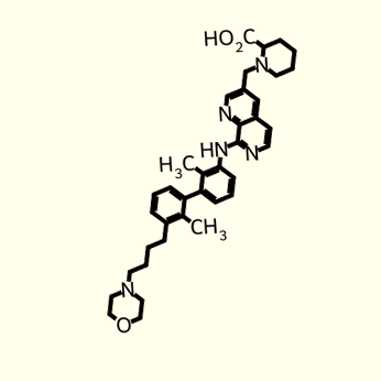 Cc1c(CCCCN2CCOCC2)cccc1-c1cccc(Nc2nccc3cc(CN4CCCCC4C(=O)O)cnc23)c1C